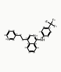 FC(F)(F)c1ccc(Nc2ncc(CCc3cccnc3)c3ccccc23)cc1